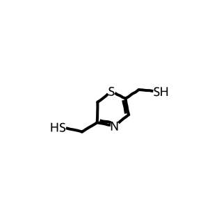 SCC1=CN=C(CS)CS1